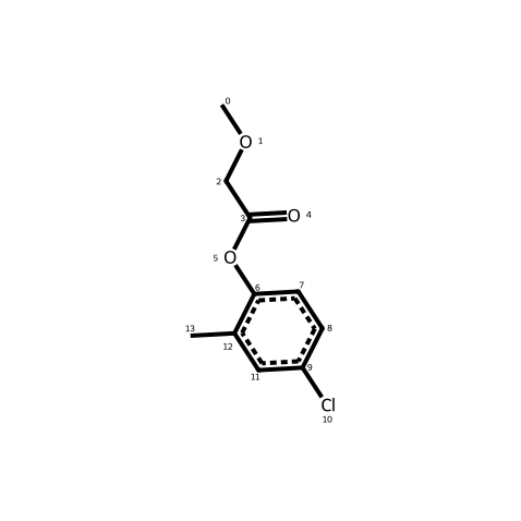 COCC(=O)Oc1ccc(Cl)cc1C